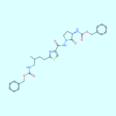 CC(CCc1nc(C(=O)NN2CC[C@@H](NC(=O)OCc3ccccc3)C2=O)cs1)CNC(=O)OCc1ccccc1